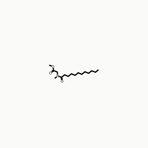 CCCCCCCCCCCC(=O)N(C)CC(=O)OC